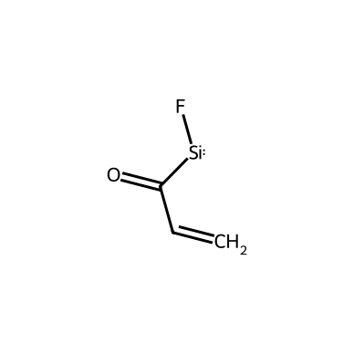 C=CC(=O)[Si]F